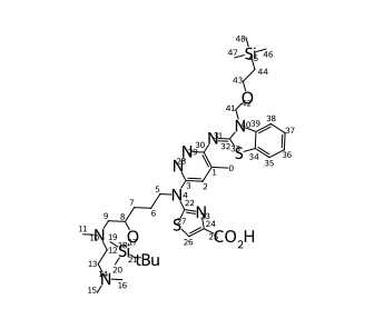 Cc1cc(N(CCCC(CN(C)CCN(C)C)O[Si](C)(C)C(C)(C)C)c2nc(C(=O)O)cs2)nnc1/N=c1\sc2ccccc2n1COCC[Si](C)(C)C